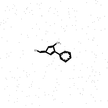 CCC=C1[C]=C(c2ccccc2)C(C)=C1